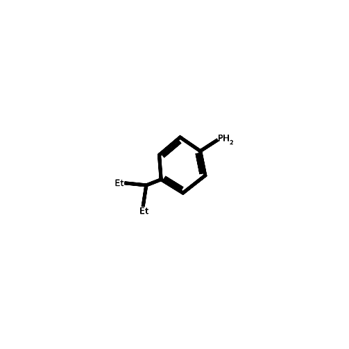 CCC(CC)c1ccc(P)cc1